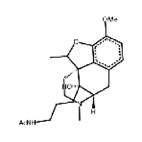 COc1ccc2c3c1OC(C)[C@@]31CCN(C)[C@@H](C2)[C@@]1(O)CCCNC(C)=O